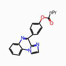 CCCC(=O)Oc1ccc(-c2nc3ccccc3n3ccnc23)cc1